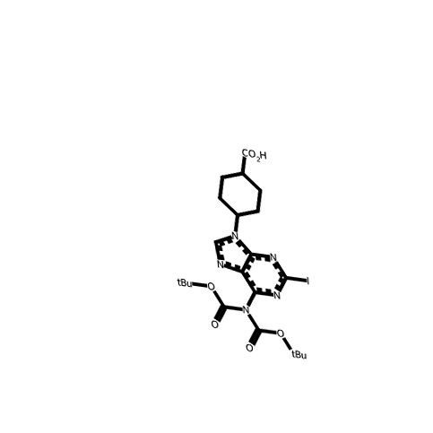 CC(C)(C)OC(=O)N(C(=O)OC(C)(C)C)c1nc(I)nc2c1ncn2C1CCC(C(=O)O)CC1